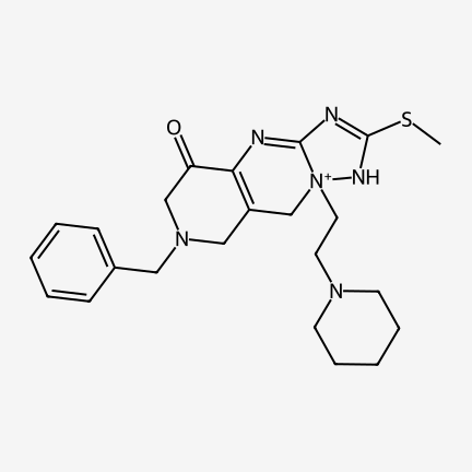 CSC1=NC2=NC3=C(CN(Cc4ccccc4)CC3=O)C[N+]2(CCN2CCCCC2)N1